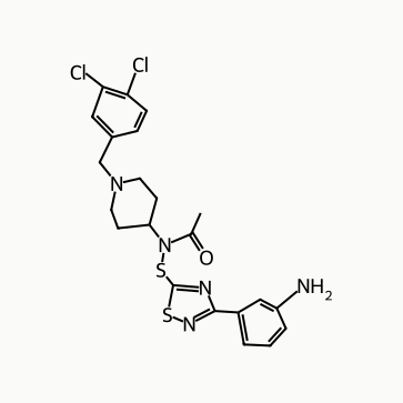 CC(=O)N(Sc1nc(-c2cccc(N)c2)ns1)C1CCN(Cc2ccc(Cl)c(Cl)c2)CC1